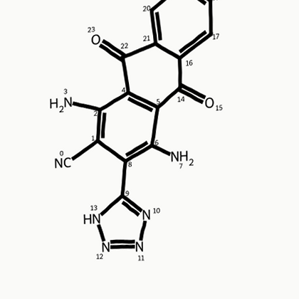 N#Cc1c(N)c2c(c(N)c1-c1nnn[nH]1)C(=O)c1ccccc1C2=O